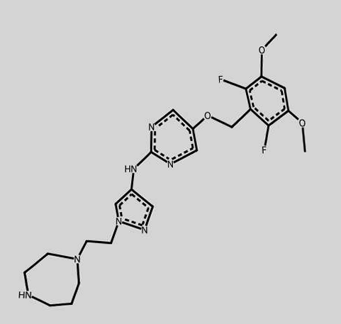 COc1cc(OC)c(F)c(COc2cnc(Nc3cnn(CCN4CCCNCC4)c3)nc2)c1F